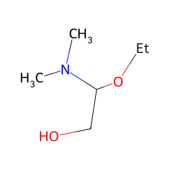 CCOC(CO)N(C)C